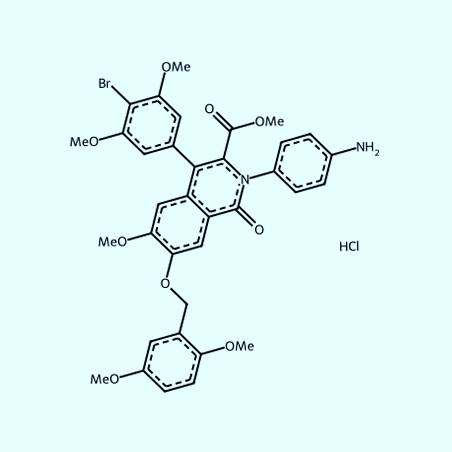 COC(=O)c1c(-c2cc(OC)c(Br)c(OC)c2)c2cc(OC)c(OCc3cc(OC)ccc3OC)cc2c(=O)n1-c1ccc(N)cc1.Cl